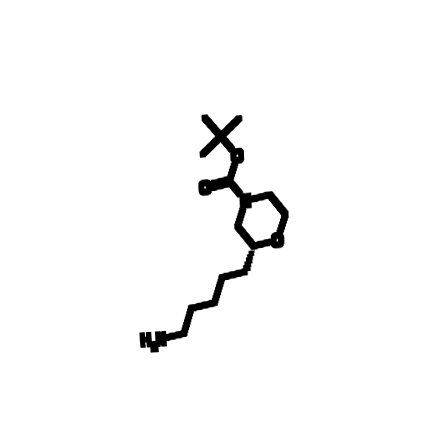 CC(C)(C)OC(=O)N1CCO[C@H](CCCCCN)C1